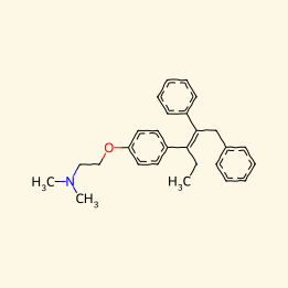 CCC(=C(Cc1ccccc1)c1ccccc1)c1ccc(OCCN(C)C)cc1